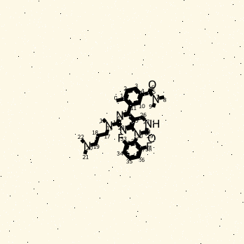 Cc1ccc(C(=O)N(C)C)cc1-c1nc(N(C)CCCN(C)C)nc2c1CNC(=O)N2c1c(F)cccc1F